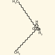 CCCCCCCCCCCCCCCCCC(=O)NC1(CC)CNC(CCCCCCCCCCCCCCCCC)=N1